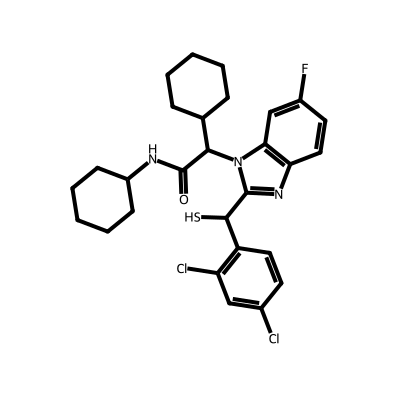 O=C(NC1CCCCC1)C(C1CCCCC1)n1c(C(S)c2ccc(Cl)cc2Cl)nc2ccc(F)cc21